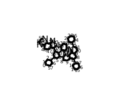 c1ccc(-c2cc(-c3ccc4c(-c5ccccc5)cc5ccc(-c6ccccc6)nc5c4n3)c(-c3ccccc3)c(-c3ncnc4c3ccc3nccnc34)c2)cc1